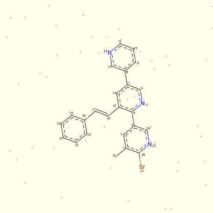 Cc1cc(-c2ncc(-c3cccnc3)cc2C=Cc2ccccc2)cnc1Br